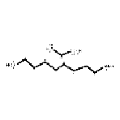 CCCCCCCCCCCCCCCCCC(=O)O.NCC(=O)O